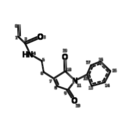 C=CC(=O)NCCC1=CC(=O)N(c2ccccc2)C1=O